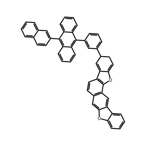 C1=c2oc3c(ccc4cc5oc6ccccc6c5cc43)c2=CC(c2cccc(-c3c4ccccc4c(-c4ccc5ccccc5c4)c4ccccc34)c2)C1